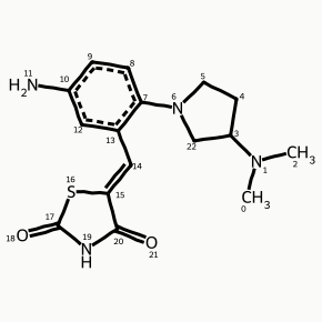 CN(C)C1CCN(c2ccc(N)cc2/C=C2\SC(=O)NC2=O)C1